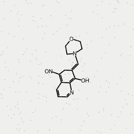 O=NC1=c2cccnc2=C(O)C(=CN2CCOCC2)C1